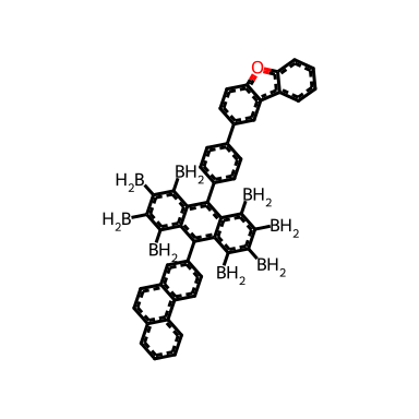 Bc1c(B)c(B)c2c(-c3ccc4c(ccc5ccccc54)c3)c3c(B)c(B)c(B)c(B)c3c(-c3ccc(-c4ccc5oc6ccccc6c5c4)cc3)c2c1B